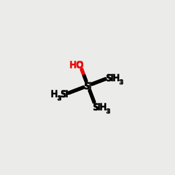 O[Si]([SiH3])([SiH3])[SiH3]